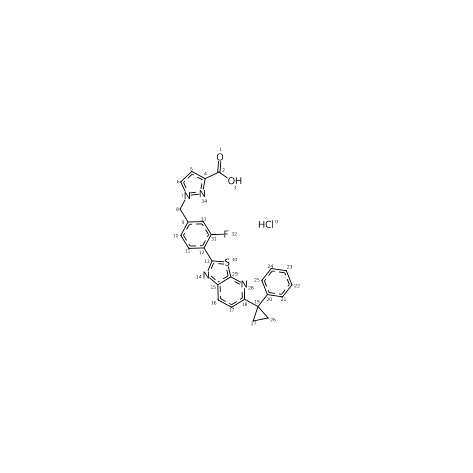 Cl.O=C(O)c1ccn(Cc2ccc(-c3nc4ccc(C5(c6ccccc6)CC5)nc4s3)c(F)c2)n1